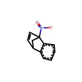 O=[N+]([O-])C12C=CC(C1)c1ccccc12